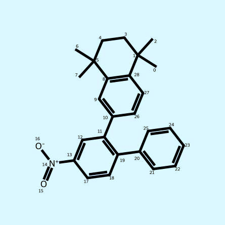 CC1(C)CCC(C)(C)c2cc(-c3cc([N+](=O)[O-])ccc3-c3ccccc3)ccc21